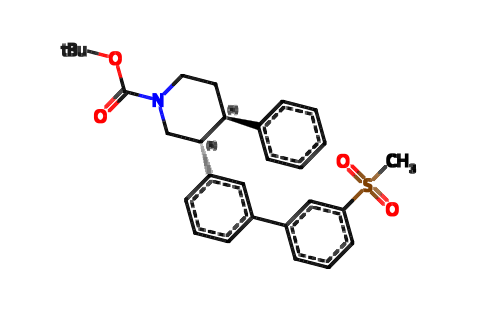 CC(C)(C)OC(=O)N1CC[C@@H](c2ccccc2)[C@H](c2cccc(-c3cccc(S(C)(=O)=O)c3)c2)C1